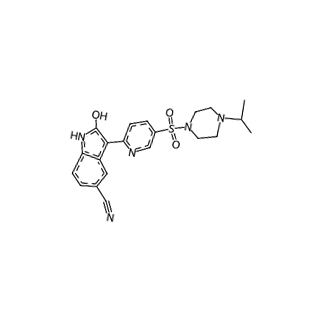 CC(C)N1CCN(S(=O)(=O)c2ccc(-c3c(O)[nH]c4ccc(C#N)cc34)nc2)CC1